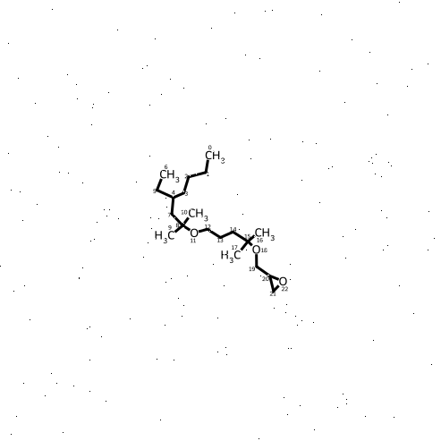 CCCCC(CC)CC(C)(C)OCCCC(C)(C)OCC1CO1